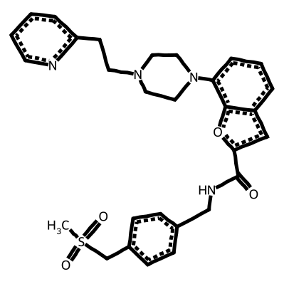 CS(=O)(=O)Cc1ccc(CNC(=O)c2cc3cccc(N4CCN(CCc5ccccn5)CC4)c3o2)cc1